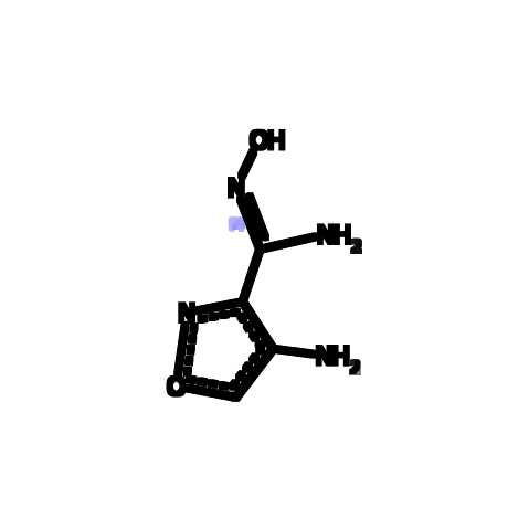 N/C(=N\O)c1nocc1N